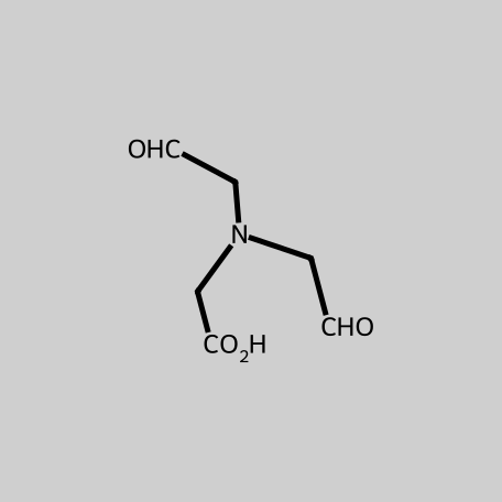 O=CCN(CC=O)CC(=O)O